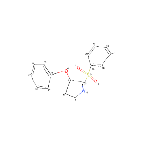 O=S(=O)(C1=NCCC1Oc1ccccc1)c1ccccc1